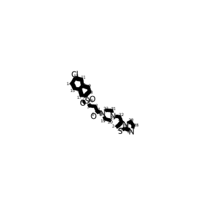 O=C(CCS(=O)(=O)c1ccc2cc(Cl)ccc2c1)N1CCN(CC2=CSC3=NCCN23)CC1